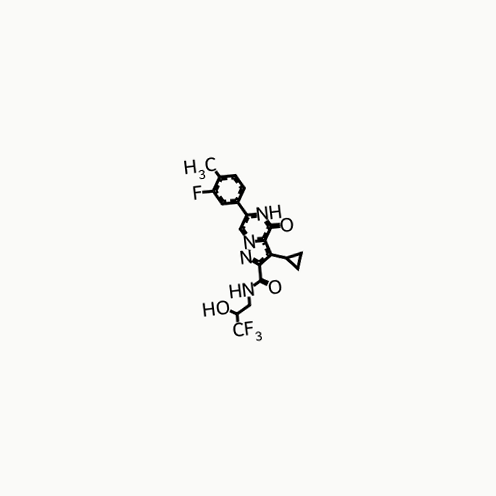 Cc1ccc(-c2cn3nc(C(=O)NCC(O)C(F)(F)F)c(C4CC4)c3c(=O)[nH]2)cc1F